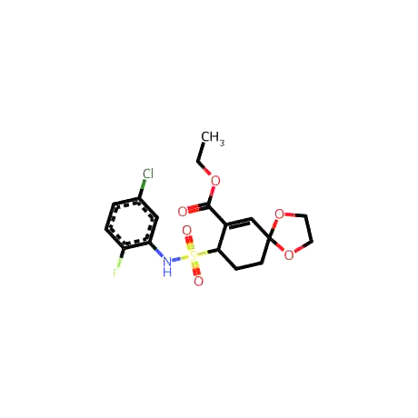 CCOC(=O)C1=CC2(CCC1S(=O)(=O)Nc1cc(Cl)ccc1F)OCCO2